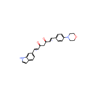 O=C(/C=C/c1ccc(N2CCOCC2)cc1)CC(=O)/C=C/c1ccc2cc[nH]c2c1